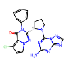 Nc1nc(N2CCC[C@H]2c2nn3ccc(Cl)c3c(=O)n2-c2ccccc2)n2ncnc2n1